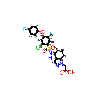 O=C(O)Cn1ncc2c1CCC[C@H]2NS(=O)(=O)c1cc(F)c(Oc2ccc(F)cc2)cc1Cl